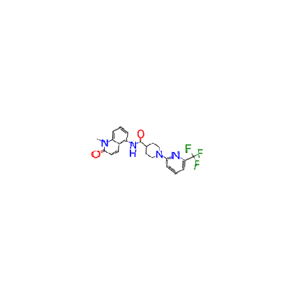 Cn1c(=O)ccc2c(NC(=O)C3CCN(c4cccc(C(F)(F)F)n4)CC3)cccc21